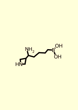 NC(CCCCB(O)O)C1CNC1